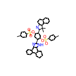 Cc1ccc(S(=O)(=O)Oc2cc(-c3nc4c5ccccc5c5ccccc5c4[nH]3)c(OS(=O)(=O)c3ccc(C)cc3)cc2C2=Nc3ccc4ccccc4c3C2(C)C)cc1